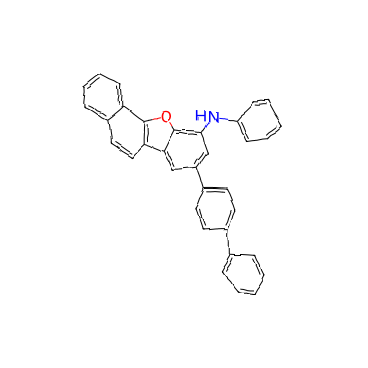 c1ccc(Nc2cc(-c3ccc(-c4ccccc4)cc3)cc3c2oc2c4ccccc4ccc32)cc1